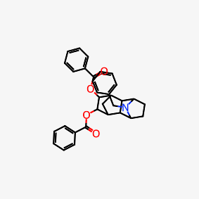 O=C(OC1C2CC(C1OC(=O)c1ccccc1)C1C2C2CCC1N2Cc1ccccc1)c1ccccc1